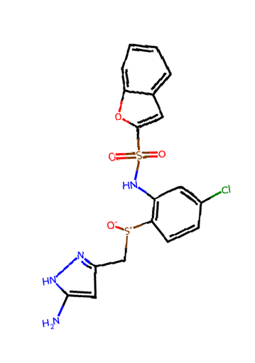 Nc1cc(C[S+]([O-])c2ccc(Cl)cc2NS(=O)(=O)c2cc3ccccc3o2)n[nH]1